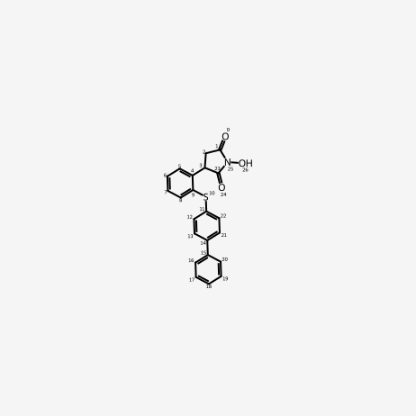 O=C1CC(c2ccccc2Sc2ccc(-c3ccccc3)cc2)C(=O)N1O